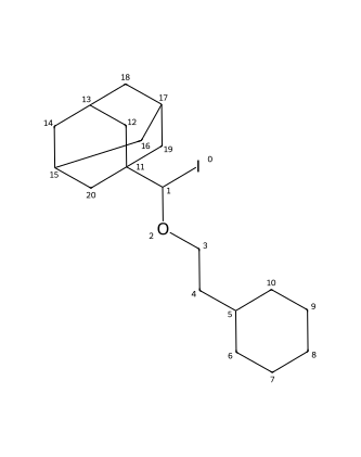 IC(OCCC1CCCCC1)C12CC3CC(CC(C3)C1)C2